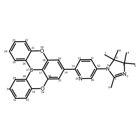 CC1=NC(C)(C)C(C)(C)N1c1ccc(-c2cc3c4c(c2)Oc2ccccc2B4c2ccccc2O3)nc1